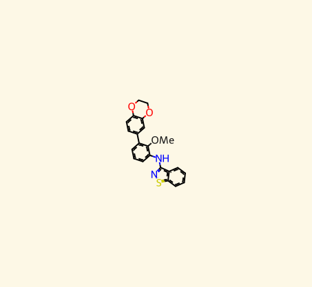 COc1c(Nc2nsc3ccccc23)cccc1-c1ccc2c(c1)OCCO2